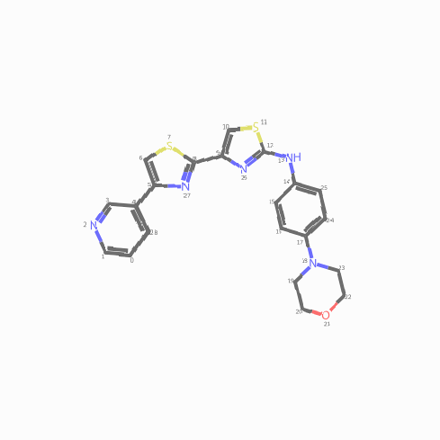 c1cncc(-c2csc(-c3csc(Nc4ccc(N5CCOCC5)cc4)n3)n2)c1